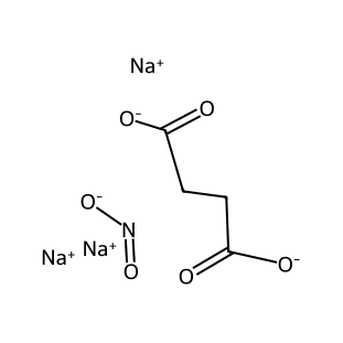 O=C([O-])CCC(=O)[O-].O=N[O-].[Na+].[Na+].[Na+]